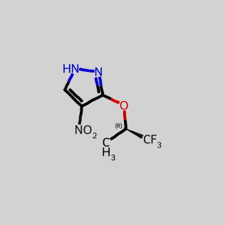 C[C@@H](Oc1n[nH]cc1[N+](=O)[O-])C(F)(F)F